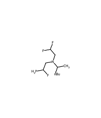 CCCCC(C)N(CC(F)F)CC(F)P